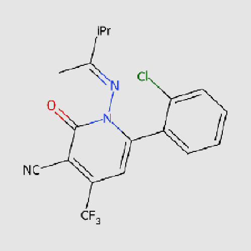 CC(=Nn1c(-c2ccccc2Cl)cc(C(F)(F)F)c(C#N)c1=O)C(C)C